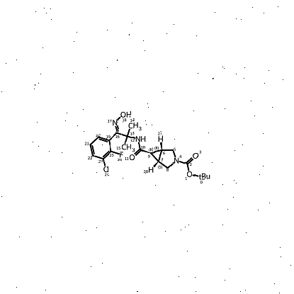 CC(C)(C)OC(=O)N1C[C@@H]2[C@H](C1)[C@H]2C(=O)NC(C)(C)C(=NO)c1cccc(Cl)c1F